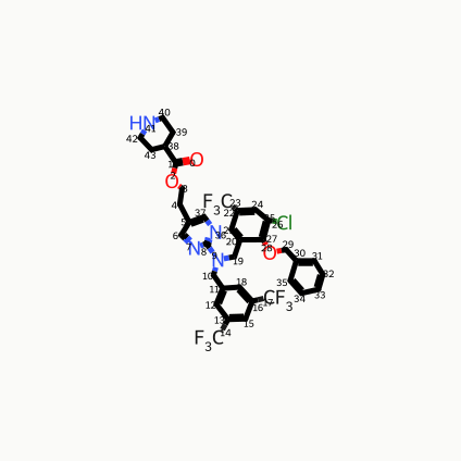 O=C(OCCc1cnc(N(Cc2cc(C(F)(F)F)cc(C(F)(F)F)c2)Cc2cc(C(F)(F)F)cc(Cl)c2OCc2ccccc2)nc1)C1CCNCC1